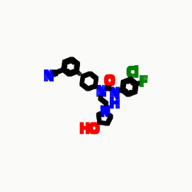 N#Cc1cccc([C@H]2CC[C@@H](N(CCN3CC[C@@H](O)C3)C(=O)Nc3ccc(F)c(Cl)c3)CC2)c1